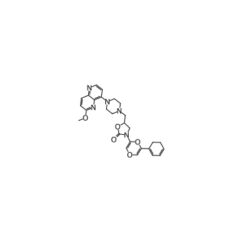 COc1ccc2nccc(N3CCN(CC4CN(C5=COC=C(C6=CC=CCC6)O5)C(=O)O4)CC3)c2n1